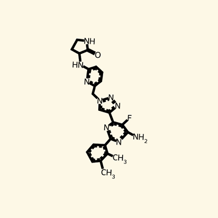 Cc1cccc(-c2nc(N)c(F)c(-c3cn(Cc4cccc(NC5CCNC5=O)n4)nn3)n2)c1C